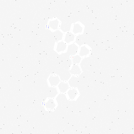 c1cncc(-c2c3ccccc3c(-c3ccc4c(c3)oc3c(-c5c6ccccc6c(-c6cccnc6)c6ccccc56)cccc34)c3ccccc23)c1